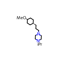 CO[C@H]1CC[C@@H](CCCN2CCN(C(C)C)CC2)CC1